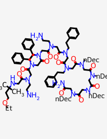 CCCCCCCCCCN(CC(N)=O)C(=O)CN(CCCCCCCCCC)C(=O)CN(CCCCCCCCCC)C(=O)CN(CCCCCCCCCC)C(=O)CN(CCc1ccccc1)C(=O)CN(CCc1ccccc1)C(=O)CN(CCN)C(=O)CN(CCc1ccccc1)C(=O)CN(CCc1ccccc1)C(=O)CN(CCN)C(=O)CNC(C)(C)CCOCC